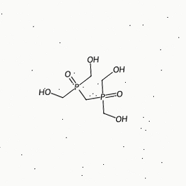 O=P(CO)(CO)CP(=O)(CO)CO